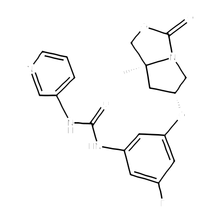 O=C(Nc1cccnc1)Nc1cc(F)cc(O[C@@H]2C[C@H]3COC(=O)N3C2)c1